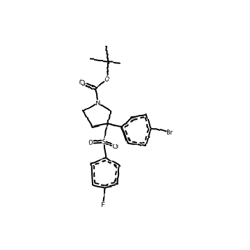 CC(C)(C)OC(=O)N1CCC(c2ccc(Br)cc2)(S(=O)(=O)c2ccc(F)cc2)C1